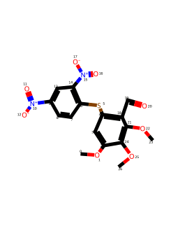 COc1cc(Sc2ccc([N+](=O)[O-])cc2[N+](=O)[O-])c(C=O)c(OC)c1OC